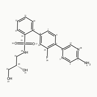 Nc1cnc(-c2ccc(-c3ccccc3S(=O)(=O)NC[C@H](O)CO)cc2F)cn1